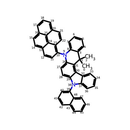 CC1(C)c2ccccc2N(c2ccc3ccc4cccc5ccc2c3c45)c2ccc3c(c21)c1ccccc1n3-c1cccc2ccccc12